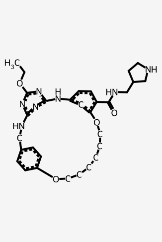 CCOc1nc2nc(n1)Nc1ccc(C(=O)NCC3CCNC3)c(c1)OCCCCCCOc1ccc(cc1)CN2